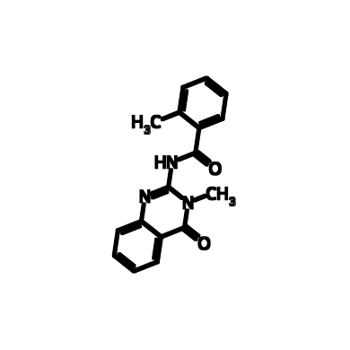 Cc1ccccc1C(=O)Nc1nc2ccccc2c(=O)n1C